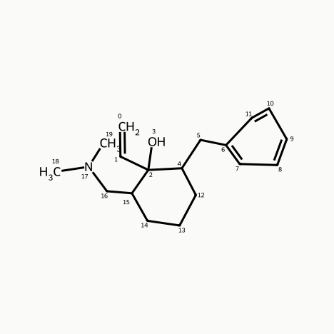 C=CC1(O)C(Cc2ccccc2)CCCC1CN(C)C